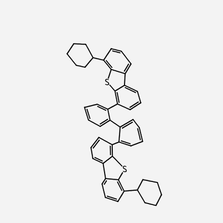 c1ccc(-c2cccc3c2sc2c(C4CCCCC4)cccc23)c(-c2ccccc2-c2cccc3c2sc2c(C4CCCCC4)cccc23)c1